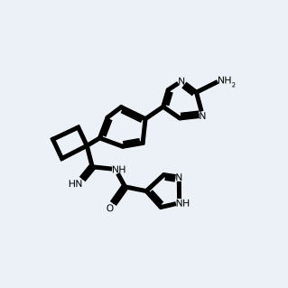 N=C(NC(=O)c1cn[nH]c1)C1(c2ccc(-c3cnc(N)nc3)cc2)CCC1